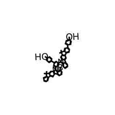 CC1(C)c2ccccc2-c2cc3c4cccc5c4n(c3cc21)-c1cc(-c2ccc(O)cc2)cc2c1B5c1cccc3c4cc5c(cc4n-2c13)C(C)(C)c1cc(-c2ccc(O)cc2)ccc1-5